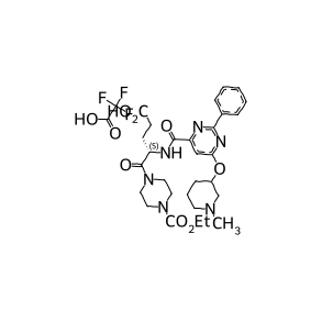 CCOC(=O)N1CCN(C(=O)[C@H](CCC(=O)O)NC(=O)c2cc(OC3CCCN(C)C3)nc(-c3ccccc3)n2)CC1.O=C(O)C(F)(F)F